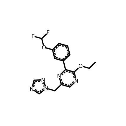 CCOc1ncc(Cn2[c]ncn2)nc1-c1cccc(OC(F)F)c1